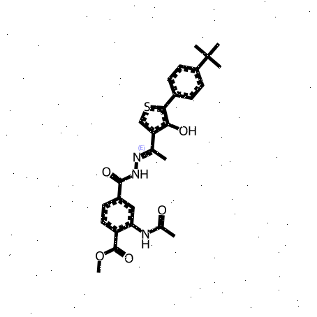 COC(=O)c1ccc(C(=O)N/N=C(\C)c2csc(-c3ccc(C(C)(C)C)cc3)c2O)cc1NC(C)=O